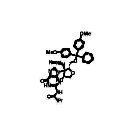 COc1ccc(C(OC[C@@H]2OC[C@@H](O)C2(N=[N+]=[N-])n2cnc3c(=O)[nH]c(NC(=O)C(C)C)nc32)(c2ccccc2)c2ccc(OC)cc2)cc1